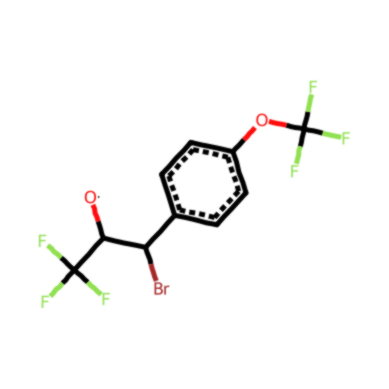 [O]C(C(Br)c1ccc(OC(F)(F)F)cc1)C(F)(F)F